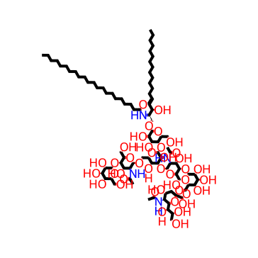 CCCCCCCCCCCCC/C=C/[C@@H](O)[C@H](CO[C@@H]1OC(CO)[C@@H](O[C@@H]2OC(CO[C@@H]3OC(CO)[C@@H](O[C@@H]4OC(CO)[C@H](O)[C@H](O)C4O)[C@H](O)C3NC(C)=O)[C@H](O)[C@H](O[C@@H]3OC(CO)[C@@H](O[C@@H]4OC(CO[C@]5(C(=O)O)CC(O)[C@@H](NC(C)=O)C([C@H](O)[C@H](O)CO)O5)[C@H](O)[C@H](O)C4O)[C@H](O)C3NC(C)=O)C2O)[C@H](O)C1O)NC(=O)CCCCCCCCCCCCCCCCCCCCC